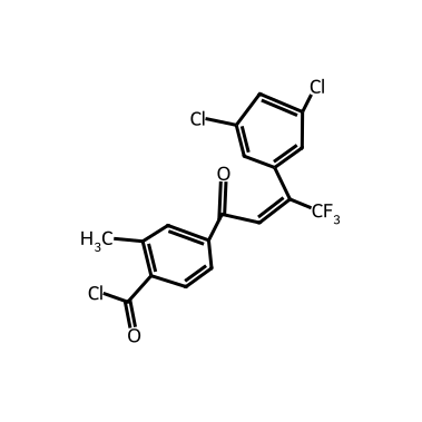 Cc1cc(C(=O)C=C(c2cc(Cl)cc(Cl)c2)C(F)(F)F)ccc1C(=O)Cl